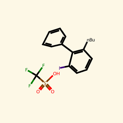 CCCCc1cccc(I)c1-c1ccccc1.O=S(=O)(O)C(F)(F)F